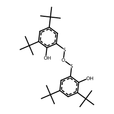 CC(C)(C)c1cc(SOSc2cc(C(C)(C)C)cc(C(C)(C)C)c2O)c(O)c(C(C)(C)C)c1